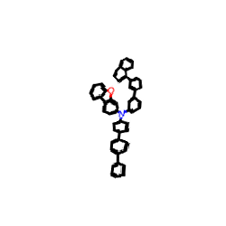 c1ccc(-c2ccc(-c3ccc(N(c4cccc(-c5cccc(-c6cccc7ccccc67)c5)c4)c4ccc5c(c4)oc4ccccc45)cc3)cc2)cc1